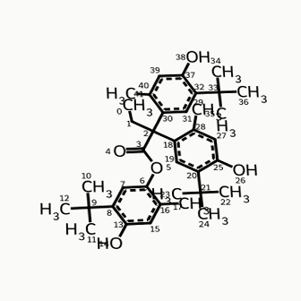 CCC(C(=O)Oc1cc(C(C)(C)C)c(O)cc1C)(c1cc(C(C)(C)C)c(O)cc1C)c1cc(C(C)(C)C)c(O)cc1C